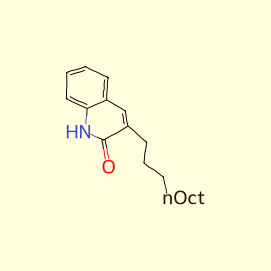 CCCCCCCCCCCc1cc2ccccc2[nH]c1=O